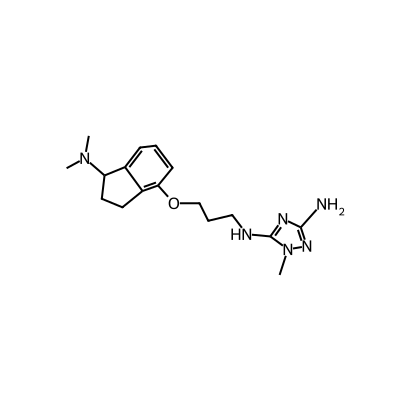 CN(C)C1CCc2c(OCCCNc3nc(N)nn3C)cccc21